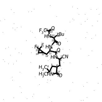 CC1(C)CC(CC(C#N)NC(=O)C(CC2CC2(F)F)NC(=O)C(NC(=O)C(F)(F)F)C(C)(C)C)C(=O)N1